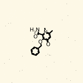 Cc1cc(=O)c(OCc2ccccc2)c(C(N)=O)n1C